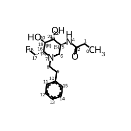 CCC(=O)N[C@H]1CN(CCc2ccccc2)[C@H](CF)[C@@H](O)[C@@H]1O